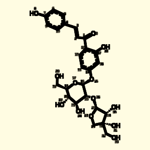 O=C(/C=C/c1ccc(O)cc1)c1ccc(O[C@@H]2O[C@H](CO)[C@@H](O)[C@H](O)[C@H]2O[C@@H]2OC[C@](O)(CO)[C@H]2O)cc1O